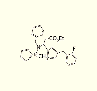 CCOC(=O)CC(c1cccc(Cc2ccccc2F)c1)N(Cc1ccccc1)[C@H](C)c1ccccc1